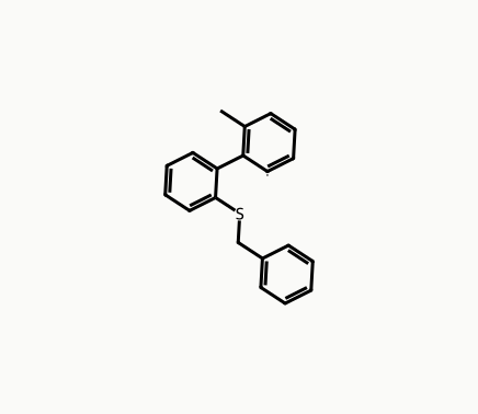 Cc1ccc[c]c1-c1ccccc1SCc1ccccc1